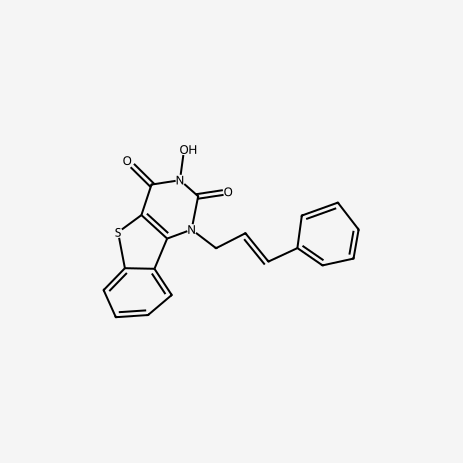 O=c1c2sc3ccccc3c2n(C/C=C/c2ccccc2)c(=O)n1O